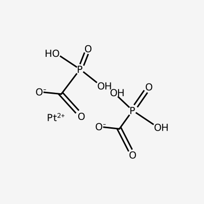 O=C([O-])P(=O)(O)O.O=C([O-])P(=O)(O)O.[Pt+2]